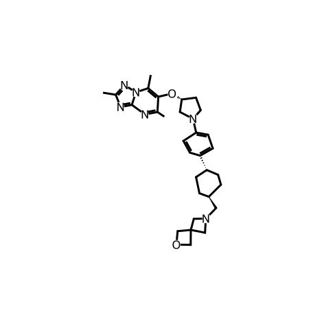 Cc1nc2nc(C)c(O[C@@H]3CCN(c4ccc([C@H]5CC[C@H](CN6CC7(COC7)C6)CC5)cc4)C3)c(C)n2n1